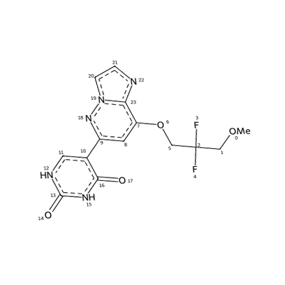 COCC(F)(F)COc1cc(-c2c[nH]c(=O)[nH]c2=O)nn2ccnc12